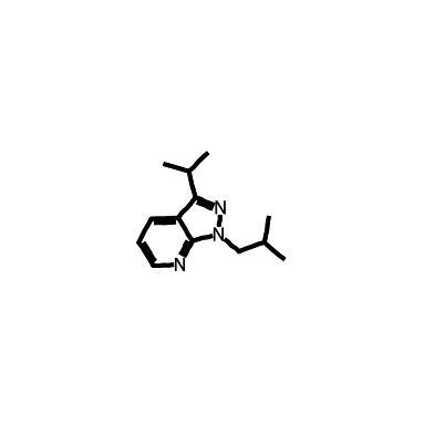 CC(C)Cn1nc(C(C)C)c2cccnc21